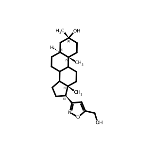 C[C@@]1(O)CC[C@]2(C)C3CC[C@@]4(C)C(CC[C@@H]4c4cc(CO)on4)C3CC[C@H]2C1